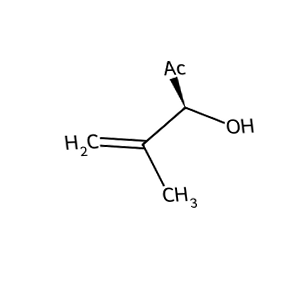 C=C(C)[C@H](O)C(C)=O